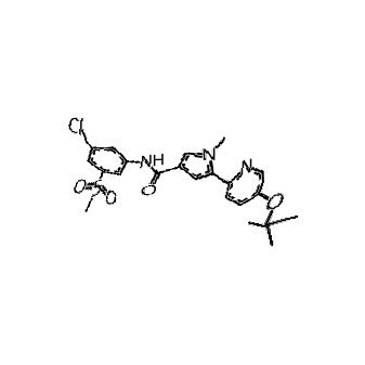 Cn1cc(C(=O)Nc2cc(Cl)cc(S(C)(=O)=O)c2)cc1-c1ccc(OC(C)(C)C)cn1